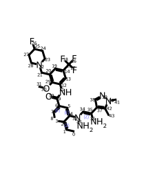 C\C=C(C)/C(=C\C(=C/C)C(=O)Nc1cc(C(F)(F)F)cc(CN2CCC(F)CC2)c1OC)N(N)/C=C(\N)c1cnn(C)c1C